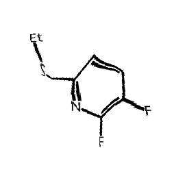 CCSc1ccc(F)c(F)n1